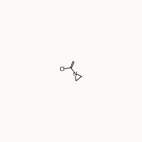 C=C(Cl)N1CC1